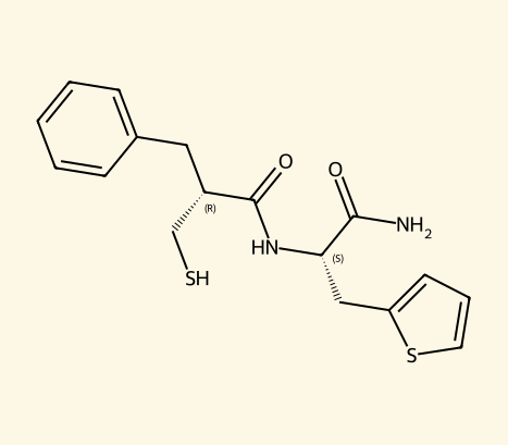 NC(=O)[C@H](Cc1cccs1)NC(=O)[C@H](CS)Cc1ccccc1